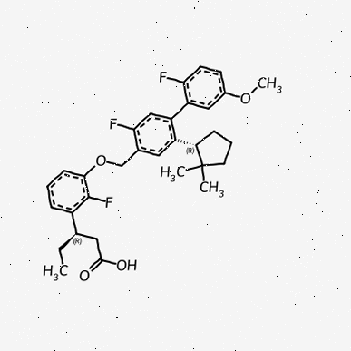 CC[C@H](CC(=O)O)c1cccc(OCc2cc([C@@H]3CCCC3(C)C)c(-c3cc(OC)ccc3F)cc2F)c1F